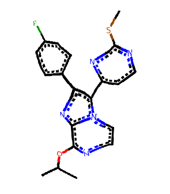 CSc1nccc(-c2c(-c3ccc(F)cc3)nc3c(OC(C)C)nccn23)n1